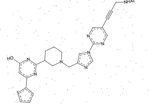 CC(=O)NCC#Cc1cnc(-n2cnc(CN3CCCC(c4nc(O)cc(-c5cccs5)n4)C3)c2)nc1